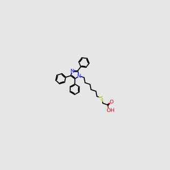 O=C(O)CSCCCCCCn1c(-c2ccccc2)nc(-c2ccccc2)c1-c1ccccc1